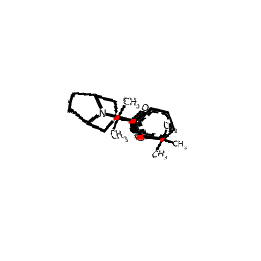 CC(C)(C)OC(=O)N1CC2CCC(C1)N2C(C)(C)c1ccccc1